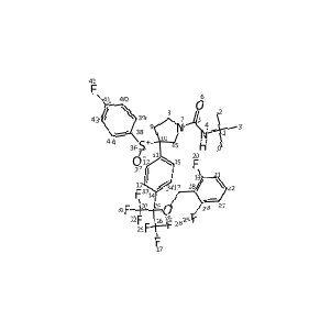 CC(C)(C)NC(=O)N1CCC(c2ccc(C(OCc3c(F)cccc3F)(C(F)(F)F)C(F)(F)F)cc2)([S+]([O-])c2ccc(F)cc2)C1